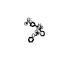 O=C(COc1ccccc1)N1CCCCC1c1nc(-c2ccc([N+](=O)[O-])cc2)no1